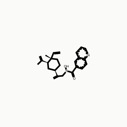 C=C[C@]1(C)CC[C@@H](C(=C)CN(O)C(=O)c2ccc3ncccc3c2)C[C@H]1C(=C)C